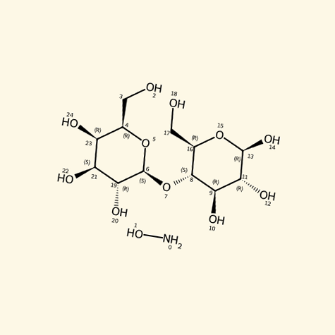 NO.OC[C@H]1O[C@@H](O[C@H]2[C@H](O)[C@@H](O)[C@H](O)O[C@@H]2CO)[C@H](O)[C@@H](O)[C@H]1O